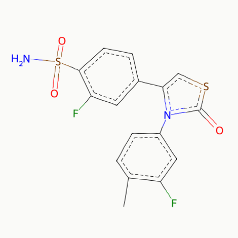 Cc1ccc(-n2c(-c3ccc(S(N)(=O)=O)c(F)c3)csc2=O)cc1F